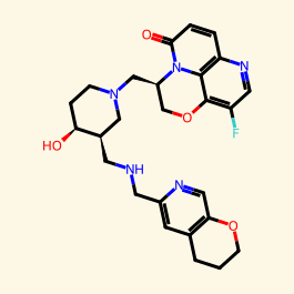 O=c1ccc2ncc(F)c3c2n1[C@H](CN1CC[C@H](O)[C@H](CNCc2cc4c(cn2)OCCC4)C1)CO3